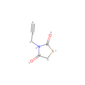 C#CCN1C(=O)CSC1=O